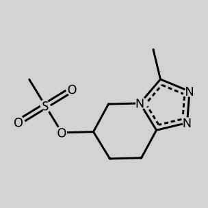 Cc1nnc2n1CC(OS(C)(=O)=O)CC2